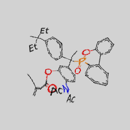 C=C(C)C(=O)Oc1cc(C(C)(c2ccc(C(C)(CC)CC)cc2)P2(=O)Oc3ccccc3-c3ccccc32)ccc1N(C(C)=O)C(C)=O